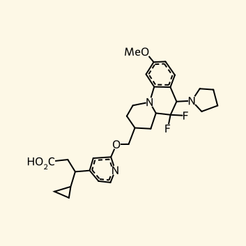 COc1ccc2c(c1)N1CCC(COc3cc(C(CC(=O)O)C4CC4)ccn3)CC1C(F)(F)C2N1CCCC1